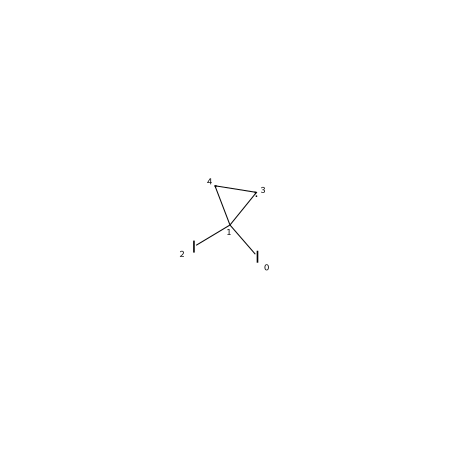 IC1(I)[CH]C1